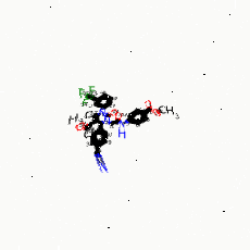 COC(=O)c1ccc(NC(=O)CN2C(=O)N(c3cccc(C(F)(F)F)c3)C(C)=C(C(C)=O)C2c2ccc(C#N)cc2)cc1